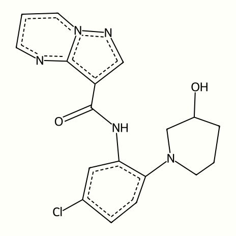 O=C(Nc1cc(Cl)ccc1N1CCCC(O)C1)c1cnn2cccnc12